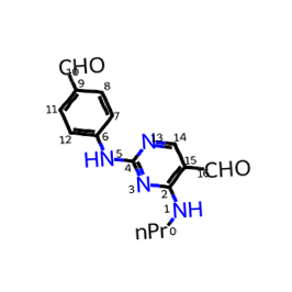 CCCNc1nc(Nc2ccc(C=O)cc2)ncc1C=O